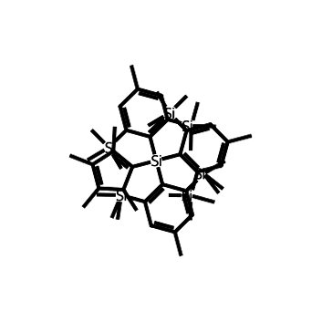 CC1=C(C)C(C)C([Si](c2c([Si](C)(C)C)cc(C)cc2[Si](C)(C)C)(c2c([Si](C)(C)C)cc(C)cc2[Si](C)(C)C)c2c([Si](C)(C)C)cc(C)cc2[Si](C)(C)C)=C1C